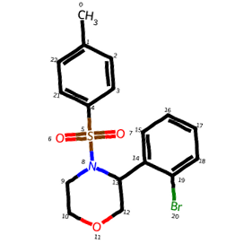 Cc1ccc(S(=O)(=O)N2CCOCC2c2ccccc2Br)cc1